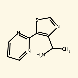 CC(N)c1ncsc1-c1ncccn1